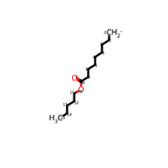 [CH2]CCCCCCCC(=O)OCCCCC